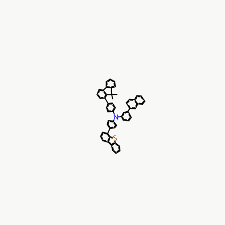 CC1(C)c2ccccc2-c2cccc(-c3ccc(N(c4ccc(-c5cccc6c5sc5ccccc56)cc4)c4cccc(-c5ccc6ccccc6c5)c4)cc3)c21